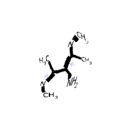 C=N/C(C)=C(N)\C(C)=N/C